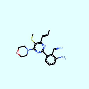 C/C=C/c1nc(-c2cccc(N)c2C=N)nc(N2CCOCC2)c1SC